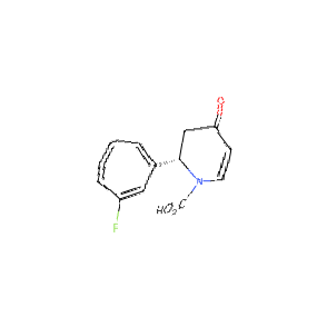 O=C1C=CN(C(=O)O)[C@H](c2cccc(F)c2)C1